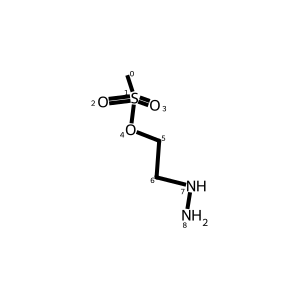 CS(=O)(=O)OCCNN